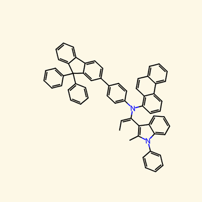 C/C=C(\c1c(C)n(-c2ccccc2)c2ccccc12)N(c1ccc(-c2ccc3c(c2)C(c2ccccc2)(c2ccccc2)c2ccccc2-3)cc1)c1cccc2c1ccc1ccccc12